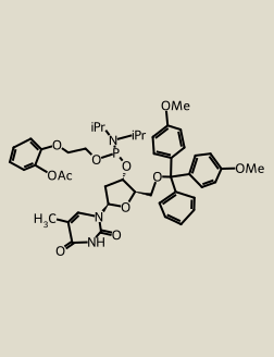 COc1ccc(C(OC[C@H]2O[C@@H](n3cc(C)c(=O)[nH]c3=O)C[C@@H]2OP(OCCOc2ccccc2OC(C)=O)N(C(C)C)C(C)C)(c2ccccc2)c2ccc(OC)cc2)cc1